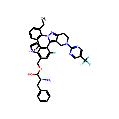 CCc1cccc(CC)c1-n1nc2c(c1-c1c(F)cc(COC(O)[C@@H](N)Cc3ccccc3)c3[nH]ccc13)CN(c1ncc(C(F)(F)F)cn1)CC2